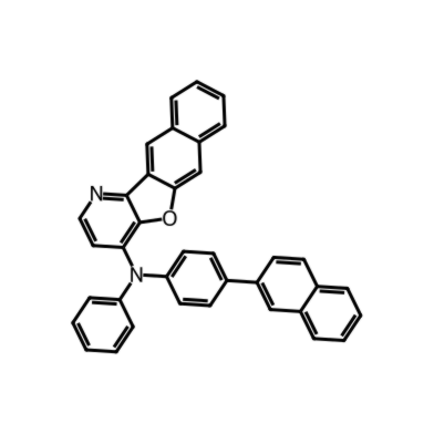 c1ccc(N(c2ccc(-c3ccc4ccccc4c3)cc2)c2ccnc3c2oc2cc4ccccc4cc23)cc1